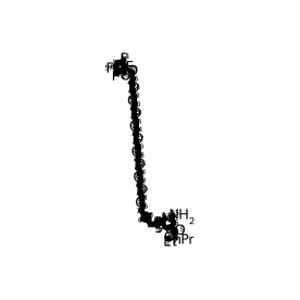 CCCN(OCC)C(=O)C1=Cc2sc(CC3CC(CCOCCOCCOCCOCCOCCOCCOCCOCCOCCOCCC(=O)Oc4c(F)c(F)cc(F)c4F)C3)cc2N=C(N)C1